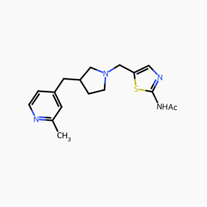 CC(=O)Nc1ncc(CN2CCC(Cc3ccnc(C)c3)C2)s1